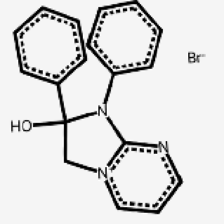 OC1(c2ccccc2)C[n+]2cccnc2N1c1ccccc1.[Br-]